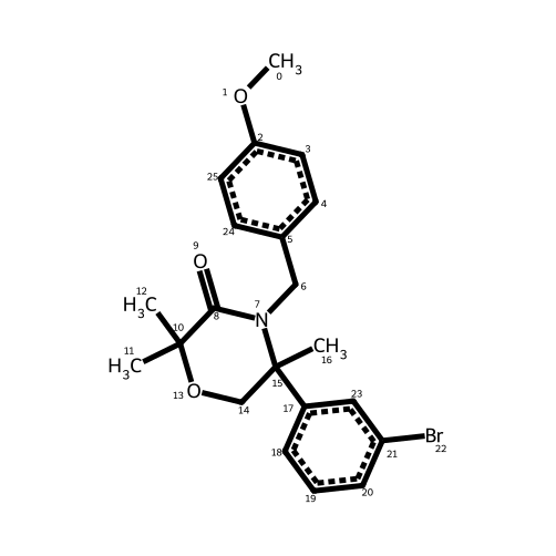 COc1ccc(CN2C(=O)C(C)(C)OCC2(C)c2cccc(Br)c2)cc1